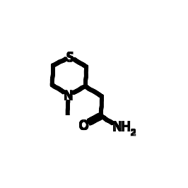 CN1CCSCC1CC(N)=O